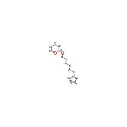 c1cc(CCCCCCOC2CCCCO2)cs1